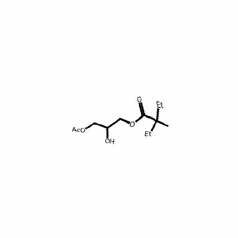 CCC(C)(CC)C(=O)OCC(O)COC(C)=O